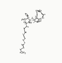 CCCCCCC=CCCCC(=O)NC(Cc1c[nH]c2ccccc12)C(=O)O